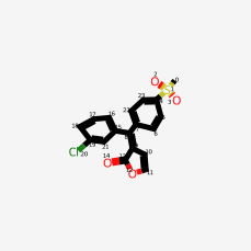 CS(=O)(=O)c1ccc(C(=C2C=COC2=O)c2cccc(Cl)c2)cc1